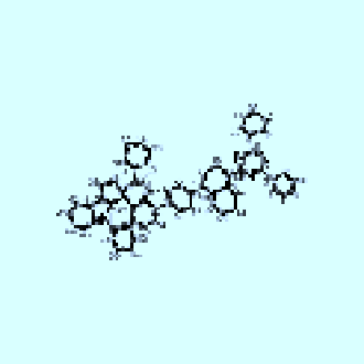 c1ccc(-c2nc(-c3ccccc3)nc(-c3ccc(-c4ccc(-c5cccc6c5nc(-c5ccccc5)c5ccc7c8ccccc8n(-c8ccccc8)c7c56)cc4)c4ccccc34)n2)cc1